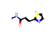 CNC(=O)C=Cc1nccs1